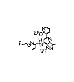 C=C/C(CNc1cc(-c2cccnc2OCC)nc2c(C)nn(C(C)C)c12)=N\OCCF